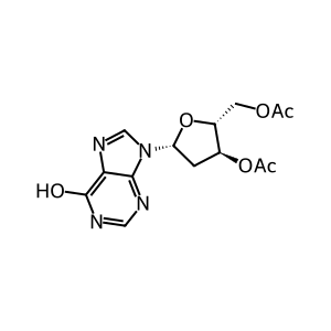 CC(=O)OC[C@H]1O[C@@H](n2cnc3c(O)ncnc32)C[C@@H]1OC(C)=O